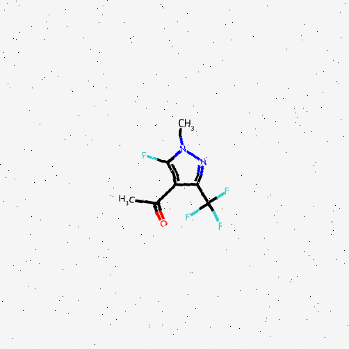 CC(=O)c1c(C(F)(F)F)nn(C)c1F